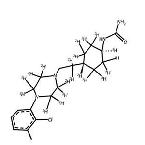 [2H]C1([2H])N(CC([2H])([2H])[C@]2([2H])C([2H])([2H])C([2H])([2H])[C@@]([2H])(NC(N)=O)C([2H])([2H])C2([2H])[2H])C([2H])([2H])C([2H])([2H])N(c2cccc(C)c2Cl)C1([2H])[2H]